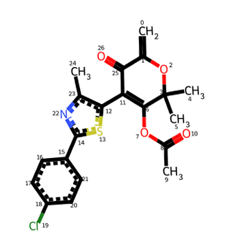 C=C1OC(C)(C)C(OC(C)=O)=C(c2sc(-c3ccc(Cl)cc3)nc2C)C1=O